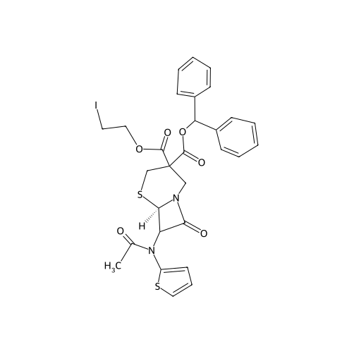 CC(=O)N(c1cccs1)C1C(=O)N2CC(C(=O)OCCI)(C(=O)OC(c3ccccc3)c3ccccc3)CS[C@H]12